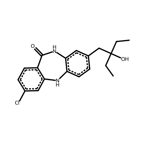 CCC(O)(CC)Cc1ccc2c(c1)NC(=O)c1ccc(Cl)cc1N2